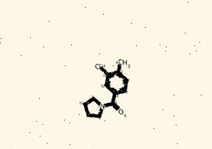 Cc1ccc(C(=O)N2CCCC2)cc1Cl